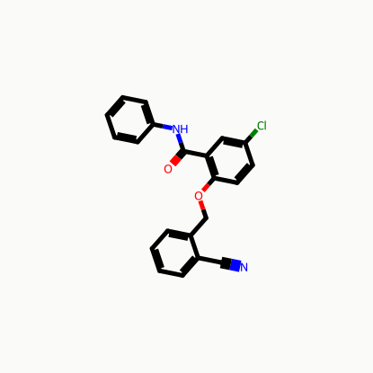 N#Cc1ccccc1COc1ccc(Cl)cc1C(=O)Nc1ccccc1